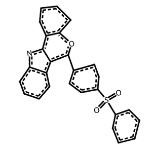 O=S(=O)(c1ccccc1)c1ccc(-c2oc3ccccc3c3nc4ccccc4c2-3)cc1